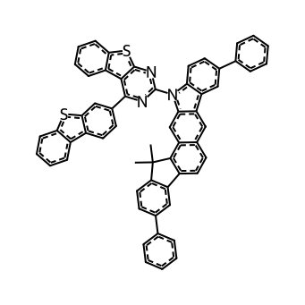 CC1(C)c2ccc(-c3ccccc3)cc2-c2ccc3cc4c5cc(-c6ccccc6)ccc5n(-c5nc(-c6ccc7c(c6)sc6ccccc67)c6c(n5)sc5ccccc56)c4cc3c21